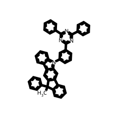 CC1(c2ccccc2)c2ccccc2-c2cc3c(cc21)c1ccccc1n3-c1cccc(-c2nc(-c3ccccc3)nc(-c3ccccc3)n2)c1